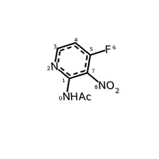 CC(=O)Nc1nccc(F)c1[N+](=O)[O-]